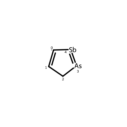 [C]1=CC[As]=[Sb]1